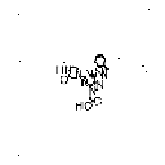 O=C(O)Cn1cnc2c(-n3ncc4ccccc43)nc(N3CCNC(=O)C3)nc21